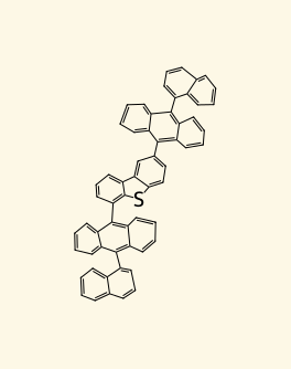 c1ccc2c(-c3c4ccccc4c(-c4ccc5sc6c(-c7c8ccccc8c(-c8cccc9ccccc89)c8ccccc78)cccc6c5c4)c4ccccc34)cccc2c1